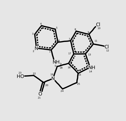 Nc1ncccc1-c1cc(Cl)c(Cl)c2[nH]c3c(c12)CN(C(=O)CO)CC3